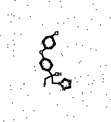 OC(CF)(Cn1cncn1)c1ccc(Oc2ccc(Cl)cc2)cc1